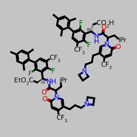 CCOC(=O)C[C@H](NC(=O)C(CC(C)C)n1cc(CCCN2CCC2)c(C(F)(F)F)cc1=O)c1c(F)c(-c2c(C)cc(C)cc2C)cc(C(F)(F)F)c1F.Cc1cc(C)c(-c2cc(C(F)(F)F)c(F)c([C@H](CC(=O)O)NC(=O)C(CC(C)C)n3cc(CCCN4CCC4)c(C(F)(F)F)cc3=O)c2F)c(C)c1